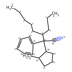 CCCCCC(CCC)C(C#N)(c1ccccc1)C1CCCC1C